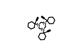 C#CC1(N2CN(C3(C#C)CCCCC3)CN(C3(C#C)CCCCC3)C2)CCCCC1